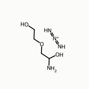 N=[N+]=N.NC(O)COCCO